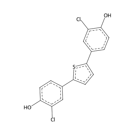 Oc1ccc(-c2ccc(-c3ccc(O)c(Cl)c3)s2)cc1Cl